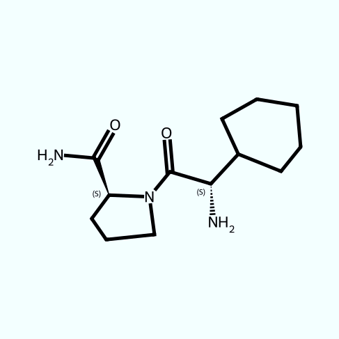 NC(=O)[C@@H]1CCCN1C(=O)[C@@H](N)C1CCCCC1